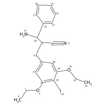 CCOc1cc(CC(C#N)C(N)c2ccccc2)cc(OCC)c1I